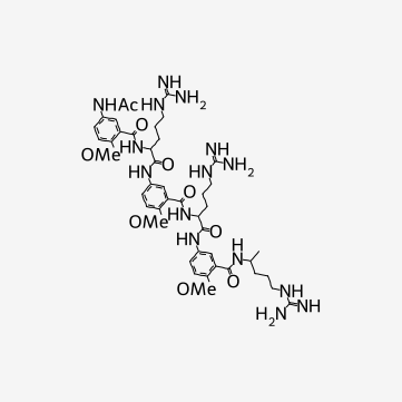 COc1ccc(NC(=O)C(CCCNC(=N)N)NC(=O)c2cc(NC(=O)C(CCCNC(=N)N)NC(=O)c3cc(NC(C)=O)ccc3OC)ccc2OC)cc1C(=O)NC(C)CCCNC(=N)N